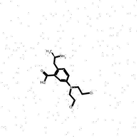 C[C@@H](N)Cc1ccc(N(CCCl)CCCl)cc1C(=O)O